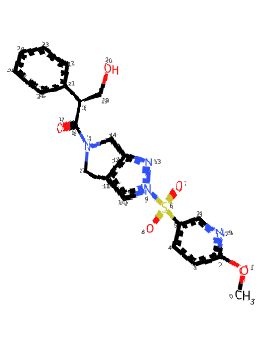 COc1ccc(S(=O)(=O)n2cc3c(n2)CN(C(=O)[C@H](CO)c2ccccc2)C3)cn1